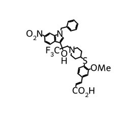 COc1cc(C=CC(=O)O)ccc1SC1CCN(CC(O)(c2cn(Cc3ccccc3)c3cc([N+](=O)[O-])ccc23)C(F)(F)F)CC1